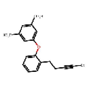 CCC#CCCc1ccccc1Oc1cc(C(=O)O)cc(C(=O)O)c1